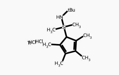 CC1=C(C)C([Si](C)(C)NC(C)(C)C)C(C)=C1C.Cl.Cl.[Ti]